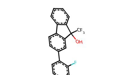 OC1(C(F)(F)F)c2ccccc2-c2ccc(-c3ccccc3F)cc21